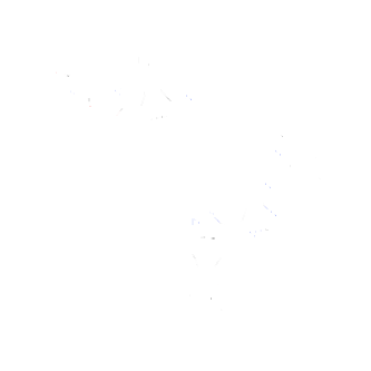 COc1c(N2CCC(O[C@H]3CC[C@H](CN4CCN(c5cc(-c6n[nH]c7ccc(OC8(C)CC8)cc67)ncn5)CC4(C)C)CC3)CC2)ccc2c1CN(C1CCC(=O)NC1=O)C2=O